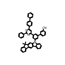 CC1(C)c2ccccc2-c2cc3c4ccccc4n(-c4cc(-c5cccc(C#N)c5)cc(-c5cc(-c6ccc(-c7ccccc7)cc6)nc(-c6ccccc6)n5)c4)c3cc21